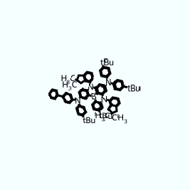 CC1(C)Cc2cccc(N3c4ccc(N(c5ccc(-c6ccccc6)cc5)c5ccc(C(C)(C)C)cc5)cc4B4c5ccc(C(C)(C)C)cc5N(c5cccc6c5CC(C)(C)C6)c5cc(N(c6ccc(C(C)(C)C)cc6)c6ccc(C(C)(C)C)cc6)cc3c54)c2C1